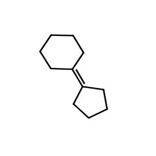 C1CCC(=C2CCCC2)CC1